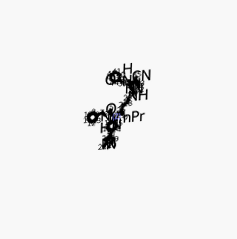 CCCC1/C(=[N+](/C(=O)NCc2ccccc2)c2ccc(-c3cnn(C)c3)cn2)C1CCCNc1ncc(C#N)c(NCC2CCCOC2)n1